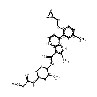 COCC(=O)NC1CCC(NC(=O)c2c(C)[nH]c3c(-c4cc(C)ccc4OCC4CC4)ncnc23)C(C)C1